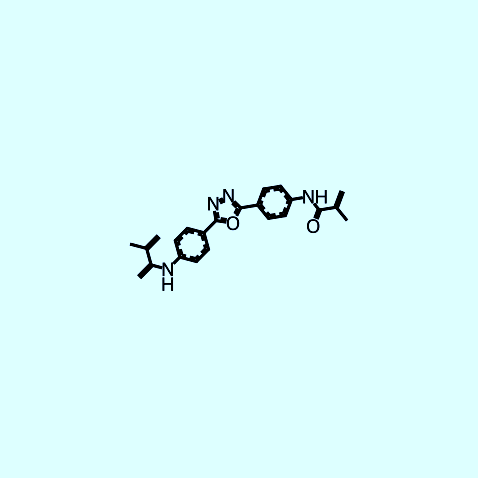 C=C(C)C(=C)Nc1ccc(-c2nnc(-c3ccc(NC(=O)C(=C)C)cc3)o2)cc1